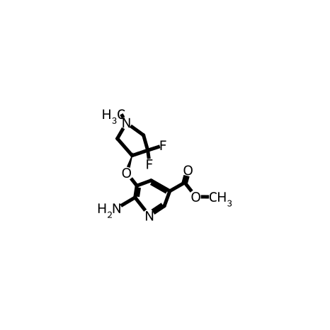 COC(=O)c1cnc(N)c(O[C@H]2CN(C)CC2(F)F)c1